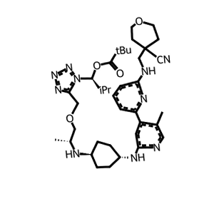 Cc1cnc(N[C@H]2CC[C@H](N[C@H](C)COCc3nnnn3[C@@H](OC(=O)C(C)(C)C)C(C)C)CC2)cc1-c1cccc(NCC2(C#N)CCOCC2)n1